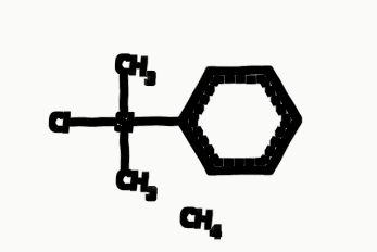 C.C[Si](C)(Cl)c1ccccc1